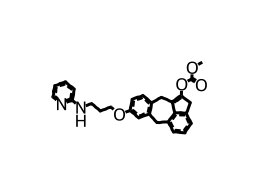 COC(=O)OC1=C2Cc3ccc(OCCCNc4ccccn4)cc3Cc3cccc(c32)C1